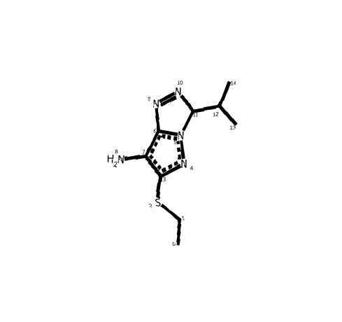 CCSc1nn2c(c1N)N=NC2C(C)C